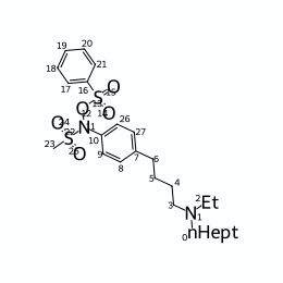 CCCCCCCN(CC)CCCCc1ccc(N(OS(=O)(=O)c2ccccc2)S(C)(=O)=O)cc1